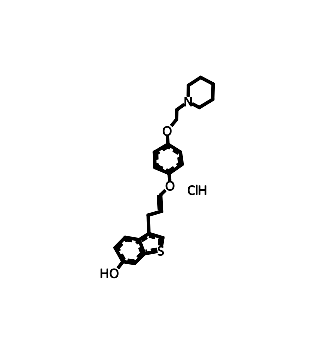 Cl.Oc1ccc2c(CC=COc3ccc(OCCN4CCCCC4)cc3)csc2c1